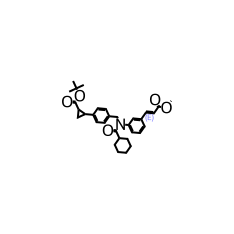 COC(=O)/C=C/c1cccc(N(Cc2ccc(C3CC3C(=O)OC(C)(C)C)cc2)C(=O)C2CCCCC2)c1